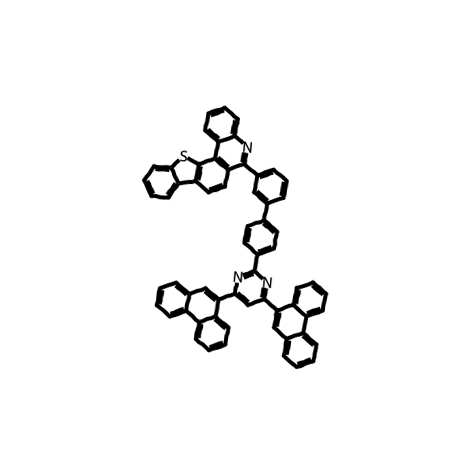 c1cc(-c2ccc(-c3nc(-c4cc5ccccc5c5ccccc45)cc(-c4cc5ccccc5c5ccccc45)n3)cc2)cc(-c2nc3ccccc3c3c2ccc2c4ccccc4sc23)c1